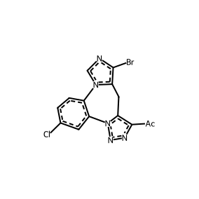 CC(=O)c1nnn2c1Cc1c(Br)ncn1-c1ccc(Cl)cc1-2